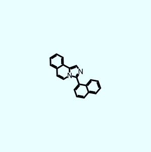 c1ccc2c(-c3ncc4c5ccccc5ccn34)cccc2c1